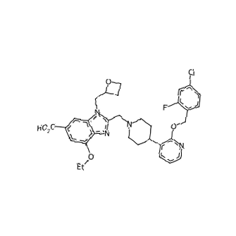 CCOc1cc(C(=O)O)cc2c1nc(CN1CCC(c3cccnc3OCc3ccc(Cl)cc3F)CC1)n2CC1CCO1